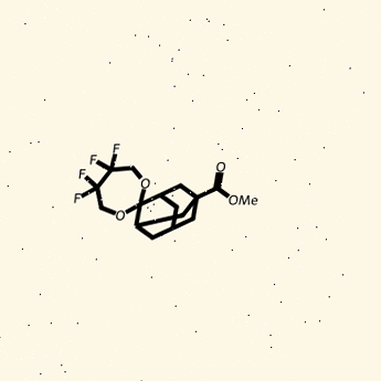 COC(=O)C12CC3CC(C1)C1(OCC(F)(F)C(F)(F)CO1)C(C3)C2